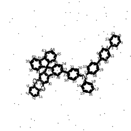 c1ccc(-c2ccc(-c3ccc(N(c4ccccc4)c4ccc(-c5ccc6c(c5)-c5cc7c(cc5C65c6ccccc6-c6ccccc65)Oc5ccccc5O7)cc4)cc3)cc2)cc1